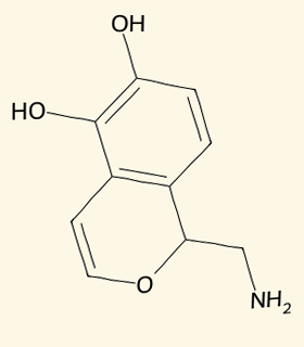 NCC1OC=Cc2c1ccc(O)c2O